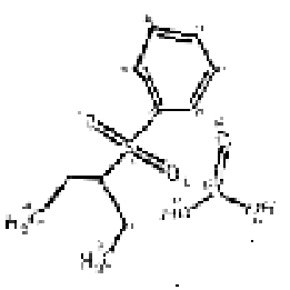 CCC(CC)S(=O)(=O)c1ccccc1.O=[PH](O)O